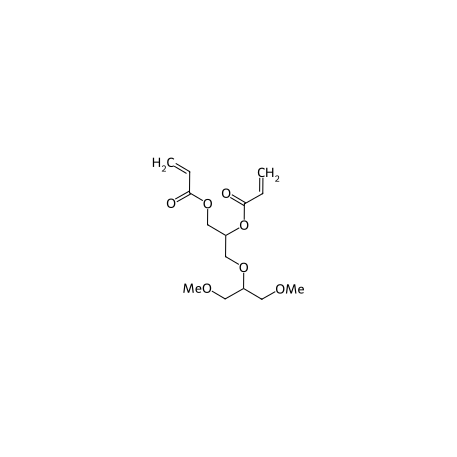 C=CC(=O)OCC(COC(COC)COC)OC(=O)C=C